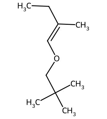 CCC(C)=COCC(C)(C)C